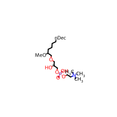 CCCCCCCCCCCCCCC(COC[C@@H](O)COP(=O)(O)OCC[N+](C)(C)C)OC